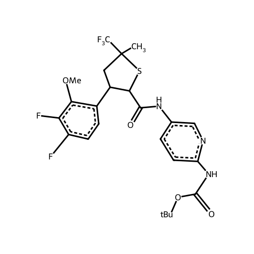 COc1c(C2CC(C)(C(F)(F)F)SC2C(=O)Nc2ccc(NC(=O)OC(C)(C)C)nc2)ccc(F)c1F